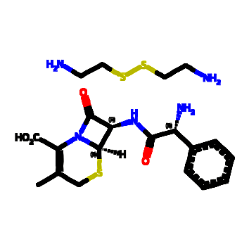 CC1=C(C(=O)O)N2C(=O)[C@@H](NC(=O)[C@H](N)c3ccccc3)[C@H]2SC1.NCCSSCCN